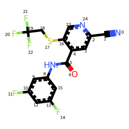 N#Cc1cc(C(=O)Nc2cc(F)cc(F)c2)c(SCC(F)(F)F)cn1